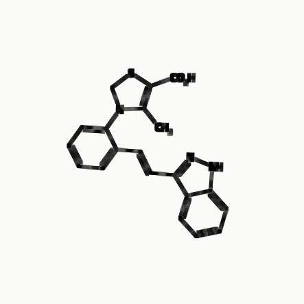 CC1=C(C(=O)O)SCN1c1ccccc1C=Cc1n[nH]c2ccccc12